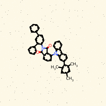 Cc1cc(C)c(-c2ccc3c4ccccc4n(-c4cccc5c4C(=O)N(c4ccc(-c6ccccc6)cc4-c4ccccc4)C5=O)c3c2)c(C)c1